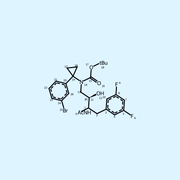 CC(=O)NC(Cc1cc(F)cc(F)c1)[C@H](O)CN(C(=O)OC(C)(C)C)C1(c2cccc(Br)c2)CC1